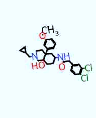 COc1cccc(C23CCN(CC4CC4)CC2(O)CCC(NC(=O)Cc2ccc(Cl)c(Cl)c2)C3)c1